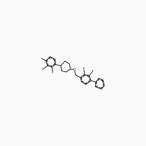 Cc1ccc(C2CCC(OCc3ccc(-c4ccccc4)c(F)c3F)CC2)c(F)c1F